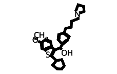 COc1ccc2c(C(O)c3ccc(CCCCN4CCCC4)cc3)c(C3CCCCC3)sc2c1